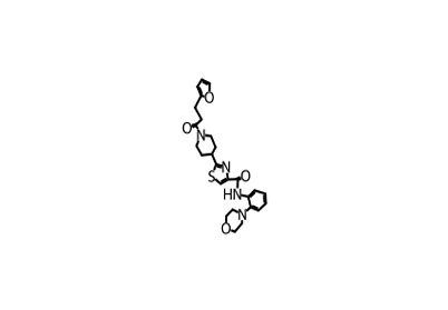 O=C(Nc1ccccc1N1CCOCC1)c1csc(C2CCN(C(=O)CCc3ccco3)CC2)n1